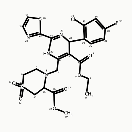 CCOC(=O)C1=C(CN2CCS(=O)(=O)CC2C(=O)OC)NC(c2nccs2)=NC1c1ccc(F)cc1Cl